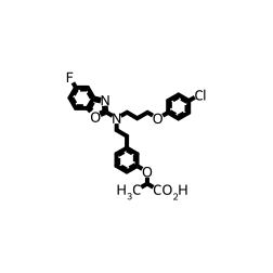 CC(Oc1cccc(CCN(CCCOc2ccc(Cl)cc2)c2nc3cc(F)ccc3o2)c1)C(=O)O